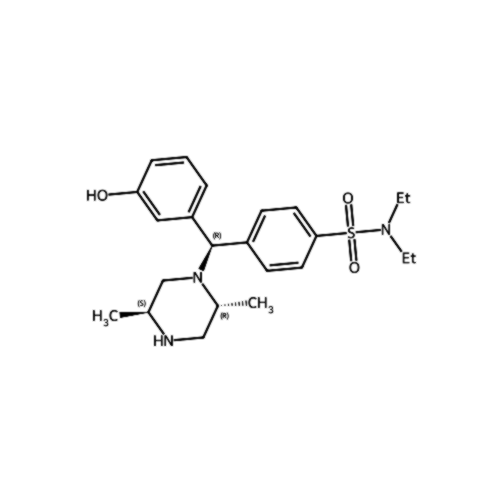 CCN(CC)S(=O)(=O)c1ccc([C@H](c2cccc(O)c2)N2C[C@H](C)NC[C@H]2C)cc1